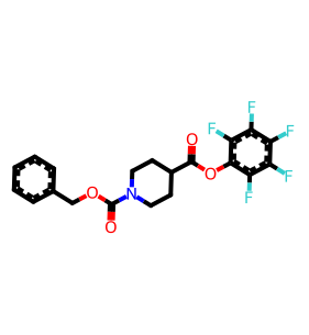 O=C(Oc1c(F)c(F)c(F)c(F)c1F)C1CCN(C(=O)OCc2ccccc2)CC1